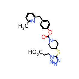 Cc1cccc(Cc2ccc(OC(=O)N3CCC(Sc4nnnn4CCC(=O)O)CC3)cc2)n1